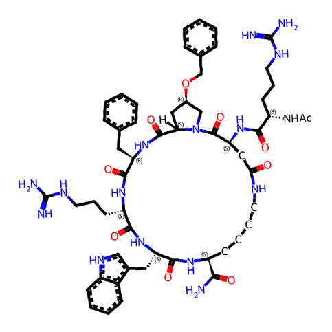 CC(=O)N[C@@H](CCCNC(=N)N)C(=O)N[C@H]1CC(=O)NCCCC[C@@H](C(N)=O)NC(=O)[C@H](Cc2c[nH]c3ccccc23)NC(=O)[C@H](CCCNC(=N)N)NC(=O)[C@@H](Cc2ccccc2)NC(=O)[C@@H]2C[C@@H](OCc3ccccc3)CN2C1=O